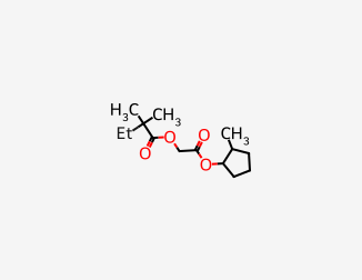 CCC(C)(C)C(=O)OCC(=O)OC1CCCC1C